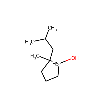 CC(C)CC1(C)CCC[SiH]1O